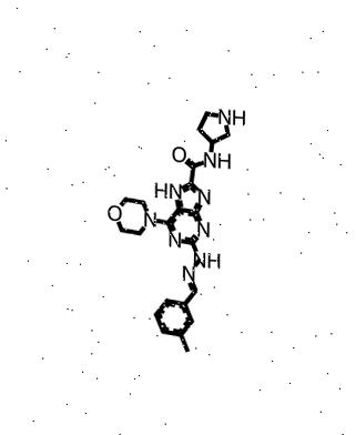 Cc1cccc(/C=N/Nc2nc(N3CCOCC3)c3[nH]c(C(=O)NC4CCNC4)nc3n2)c1